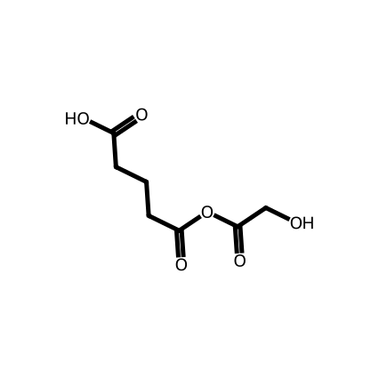 O=C(O)CCCC(=O)OC(=O)CO